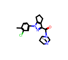 Cc1ccc(-n2nc(C(=O)N3CCN4CCC3CC4)c3c2CCC3)cc1Cl